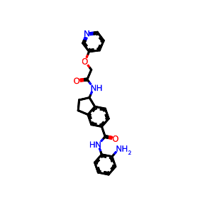 Nc1ccccc1NC(=O)c1ccc2c(c1)CCC2NC(=O)COc1cccnc1